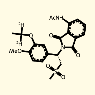 [2H]C([2H])(C)Oc1cc([C@@H](CS(C)(=O)=O)N2C(=O)c3cccc(NC(C)=O)c3C2=O)ccc1OC